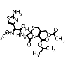 CON=C(C(=O)N[C@H]1C(=O)N2C(C(=O)OC(C)C)=C(COC(C)=O)CS[C@H]12)c1csc(N)n1